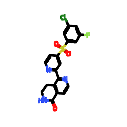 O=C1NCCc2c1ccnc2-c1cc(S(=O)(=O)c2cc(F)cc(Cl)c2)ccn1